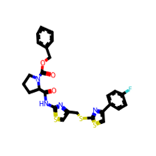 O=C(Nc1nc(CSc2nc(-c3ccc(F)cc3)cs2)cs1)C1CCCN1C(=O)OCc1ccccc1